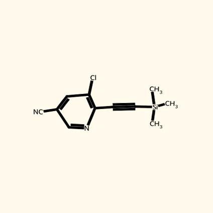 C[Si](C)(C)C#Cc1ncc(C#N)cc1Cl